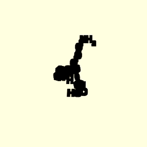 NCCOCCOCCOc1ccc(C#Cc2ccc(C(=O)O)nc2)c(NS(=O)(=O)c2cccc3cccnc23)c1